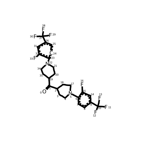 O=C(C1CCN(c2ccc(C(F)(F)F)cc2F)CC1)C1CCN(c2ccc(C(F)(F)F)cc2F)CC1